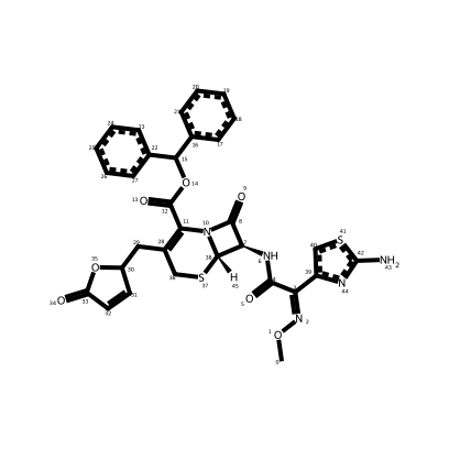 CO/N=C(\C(=O)N[C@@H]1C(=O)N2C(C(=O)OC(c3ccccc3)c3ccccc3)=C(CC3C=CC(=O)O3)CS[C@@H]12)c1csc(N)n1